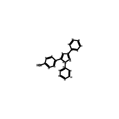 Oc1ccc(-c2cc(-c3ccccc3)nn2-c2ccccc2)cc1